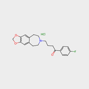 Cl.O=C(CCCN1CCc2cc3c(cc2CC1)OCO3)c1ccc(F)cc1